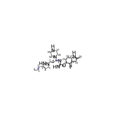 C/C=C/C1=CCN(C=C/C(=N\C(=N)Oc2ccc3[nH]c(C)cc3c2F)N2CCNCC2)N1